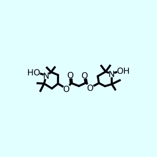 CC1(C)CC(OC(=O)CC(=O)OC2CC(C)(C)N(O)C(C)(C)C2)CC(C)(C)N1O